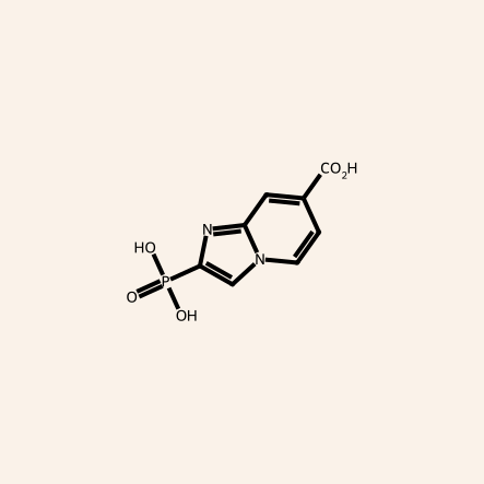 O=C(O)c1ccn2cc(P(=O)(O)O)nc2c1